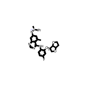 Cc1cc(/N=S(/C)C(C)C)cc2ncnc(Nc3ccc(F)cc3O[C@@H]3COC4CCOC43)c12